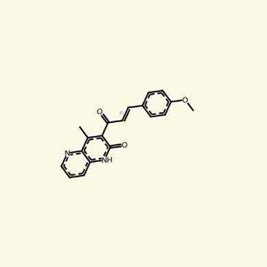 COc1ccc(/C=C/C(=O)c2c(C)c3ncccc3[nH]c2=O)cc1